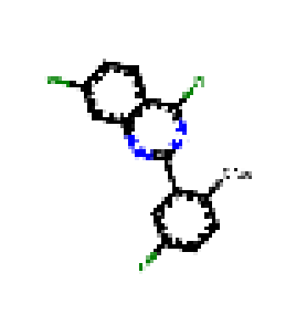 COc1ccc(F)cc1-c1nc(Cl)c2ccc(Br)cc2n1